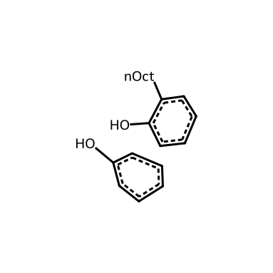 CCCCCCCCc1ccccc1O.Oc1ccccc1